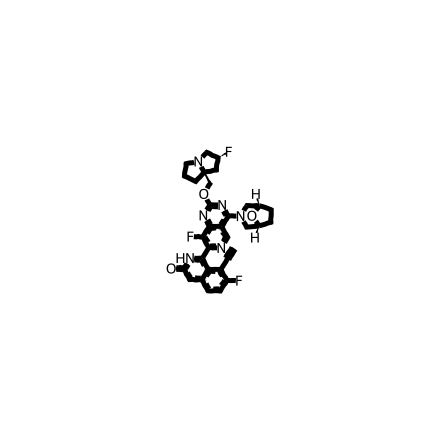 C#Cc1c(F)ccc2cc(=O)[nH]c(-c3ncc4c(N5C[C@H]6CC[C@@H](C5)O6)nc(OC[C@@]56CCCN5C[C@H](F)C6)nc4c3F)c12